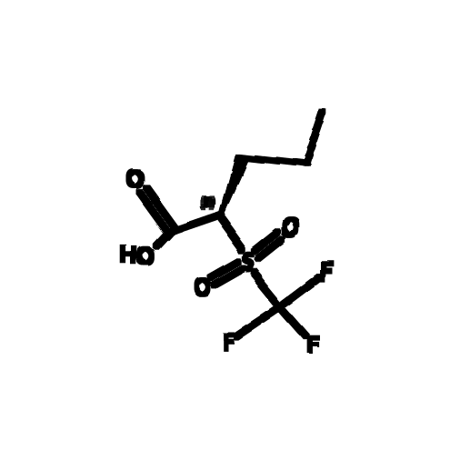 CCC[C@H](C(=O)O)S(=O)(=O)C(F)(F)F